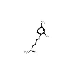 C=[N+](C)CCCOc1ccc(N)cc1N